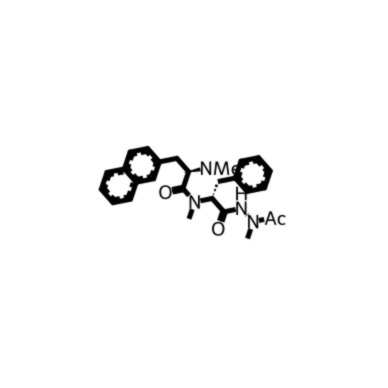 CN[C@H](Cc1ccc2ccccc2c1)C(=O)N(C)[C@H](Cc1ccccc1)C(=O)NN(C)C(C)=O